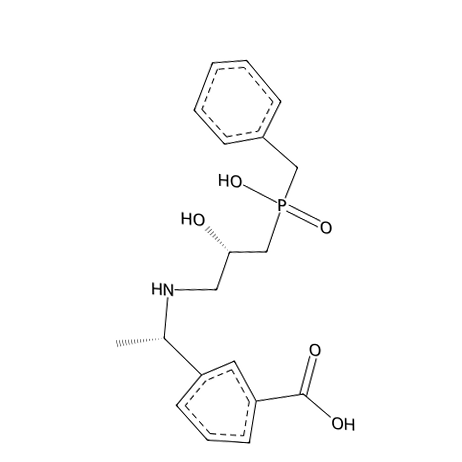 C[C@H](NC[C@H](O)CP(=O)(O)Cc1ccccc1)c1cccc(C(=O)O)c1